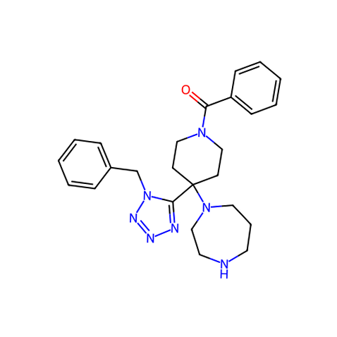 O=C(c1ccccc1)N1CCC(c2nnnn2Cc2ccccc2)(N2CCCNCC2)CC1